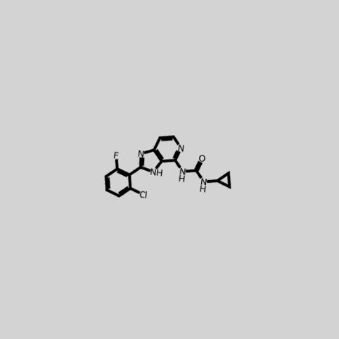 O=C(Nc1nccc2nc(-c3c(F)cccc3Cl)[nH]c12)NC1CC1